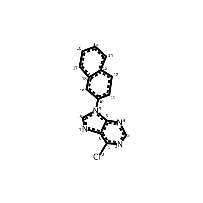 Clc1ncnc2c1ncn2-c1ccc2ccccc2c1